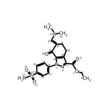 CCOC(=O)c1nn(-c2ccc(S(N)(=O)=O)cc2)c2c1CCC(=CN(C)C)C2=O